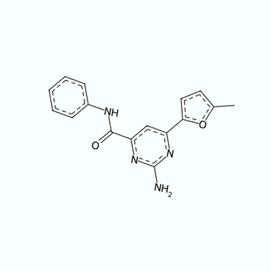 Cc1ccc(-c2cc(C(=O)Nc3ccccc3)nc(N)n2)o1